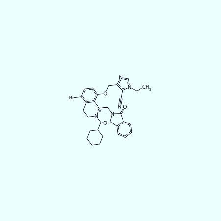 CCn1cnc(COc2ccc(Br)c3c2[C@@H](CN2Cc4ccccc4C2=O)N(C(=O)C2CCCCC2)CC3)c1C#N